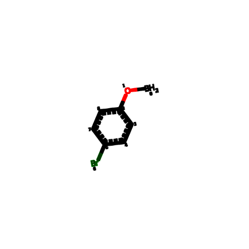 BOc1ccc(Br)cc1